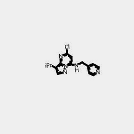 CC(C)c1cnn2c(NCc3ccncc3)cc(Cl)nc12